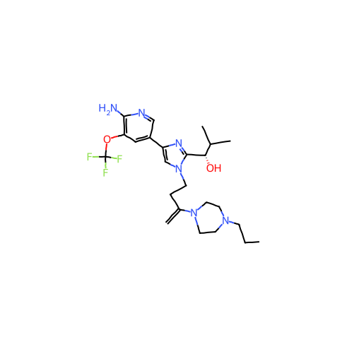 C=C(CCn1cc(-c2cnc(N)c(OC(F)(F)F)c2)nc1[C@@H](O)C(C)C)N1CCN(CCC)CC1